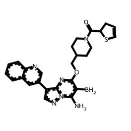 Bc1c(OCC2CCN(C(=O)C3CC=CS3)CC2)nc2c(-c3cnc4ccccc4c3)cnn2c1N